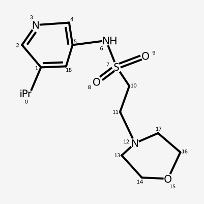 CC(C)c1cncc(NS(=O)(=O)CCN2CCOCC2)c1